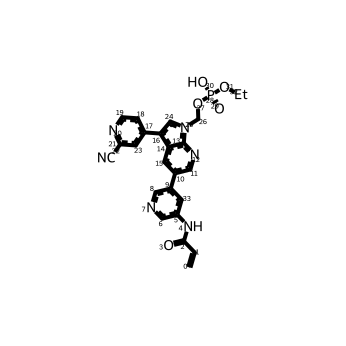 C=CC(=O)Nc1cncc(-c2cnc3c(c2)c(-c2ccnc(C#N)c2)cn3COP(=O)(O)OCC)c1